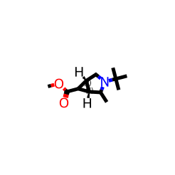 COC(=O)C1[C@H]2C(C)N(C(C)(C)C)C[C@@H]12